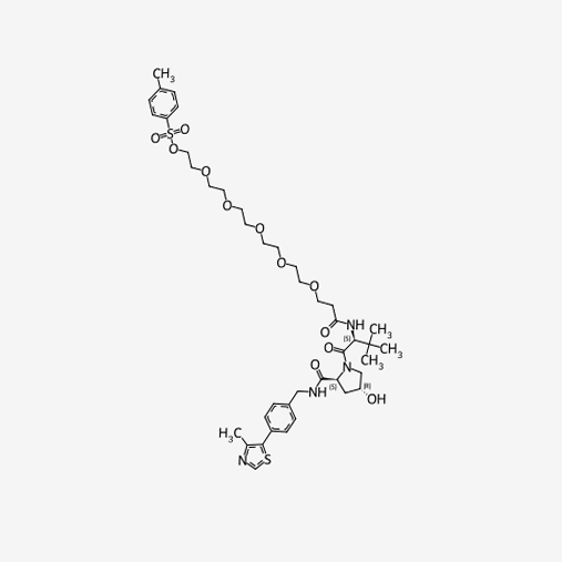 Cc1ccc(S(=O)(=O)OCCOCCOCCOCCOCCOCCC(=O)N[C@H](C(=O)N2C[C@H](O)C[C@H]2C(=O)NCc2ccc(-c3scnc3C)cc2)C(C)(C)C)cc1